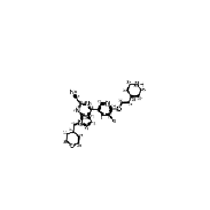 Cc1cc(-c2nc(C#N)nc3c2ccn3CC2CCOCC2)cnc1OCCC1CCNCC1